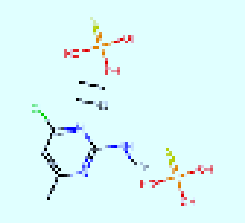 CC.CCC.Cc1cc(Cl)nc(NC(C)C)n1.OP(O)(O)=S.OP(O)(O)=S